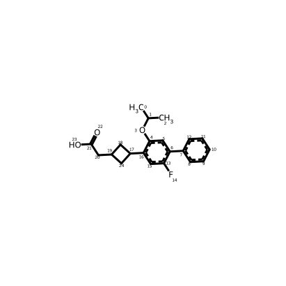 CC(C)Oc1cc(-c2ccccc2)c(F)cc1C1CC(CC(=O)O)C1